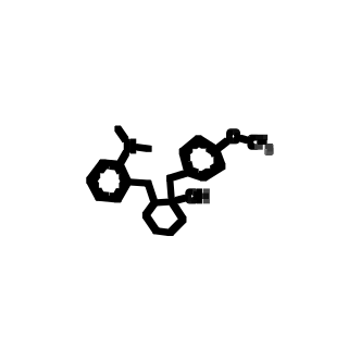 CN(C)c1ccccc1CC1CCCCC1(O)Cc1ccc(OC(F)(F)F)cc1